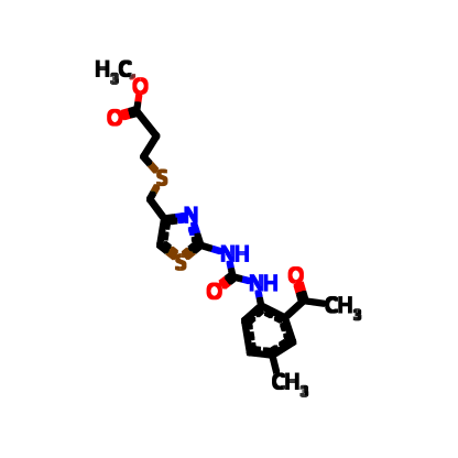 COC(=O)CCSCc1csc(NC(=O)Nc2ccc(C)cc2C(C)=O)n1